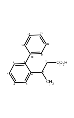 CC(CC(=O)O)c1ccccc1-c1ccccc1